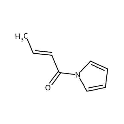 CC=CC(=O)n1cccc1